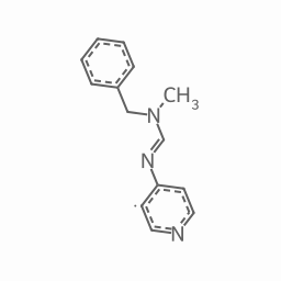 CN(/C=N/c1[c]cncc1)Cc1ccccc1